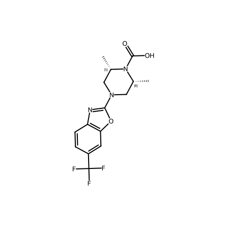 C[C@@H]1CN(c2nc3ccc(C(F)(F)F)cc3o2)C[C@H](C)N1C(=O)O